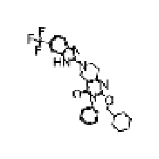 O=c1c2c(nc(OCC3CCCCC3)n1-c1ccccc1)CCN(c1nc3ccc(C(F)(F)F)cc3[nH]1)C2